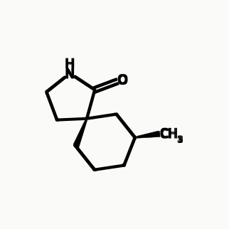 C[C@H]1CCC[C@]2(CCNC2=O)C1